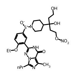 CCCc1nc(C)c2c(=O)[nH]c(-c3cc([S+]([O-])N4CCC(C(O)(CCO)CCO[N+](=O)[O-])CC4)ccc3OCC)nn12